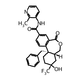 Cc1ncccc1NC(=O)c1ccc2c(c1)C(=O)OC[C@@H]1C[C@@](O)(C(F)(F)F)CC[C@@]21Cc1ccccc1